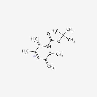 C=C(/C=C(/C)C(=C)NC(=O)OC(C)(C)C)OC